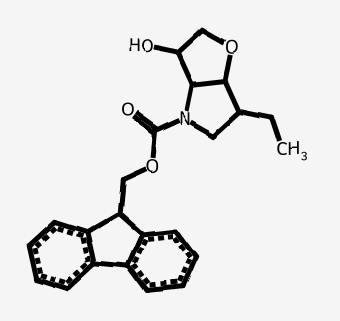 CCC1CN(C(=O)OCC2c3ccccc3-c3ccccc32)C2C(O)COC12